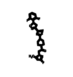 Cc1cc(F)nn1CC(=O)N1CCC(c2nc(C3=NOC(c4c(F)cccc4F)C3)cs2)CC1